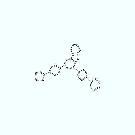 c1ccc(-c2ccc(-c3cc(-c4ccc(-c5ccccc5)cc4)c4sc5ccccc5c4c3)cc2)cc1